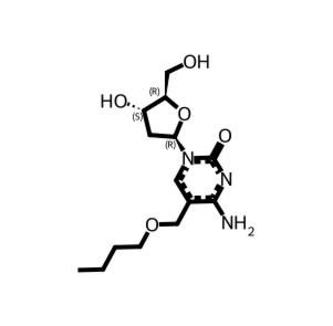 CCCCOCc1cn([C@H]2C[C@H](O)[C@@H](CO)O2)c(=O)nc1N